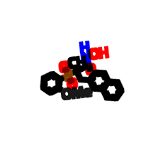 COc1ccccc1S(=O)(=O)C(C)(Cc1ccc2ccccc2c1)C(=O)NO